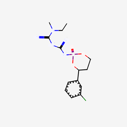 CCN(C)C(=N)NC(=N)NP1(=O)OCCC(c2cccc(Cl)c2)O1